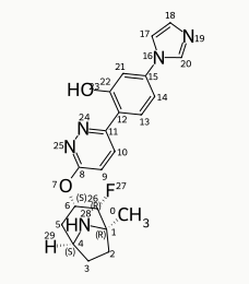 C[C@@]12CC[C@@H](C[C@H](Oc3ccc(-c4ccc(-n5ccnc5)cc4O)nn3)[C@@H]1F)N2